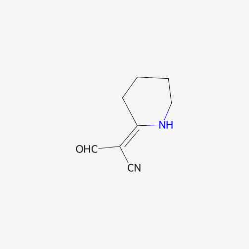 N#C/C(C=O)=C1/CCCCN1